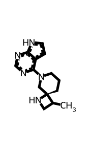 CC1CN[C@@]12CCCN(c1ncnc3[nH]ccc13)C2